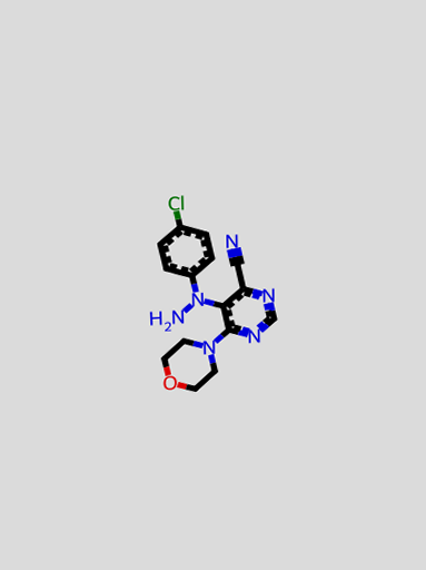 N#Cc1ncnc(N2CCOCC2)c1N(N)c1ccc(Cl)cc1